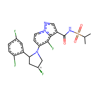 CC(C)S(=O)(=O)NC(=O)c1cnn2ccc(N3C[C@@H](F)CC3c3cc(F)ccc3F)c(F)c12